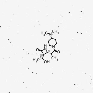 CC(C(=O)N1CCC(N(C)C)CC1)[C@H]1NC(=O)[C@@H]1[C@@H](C)O